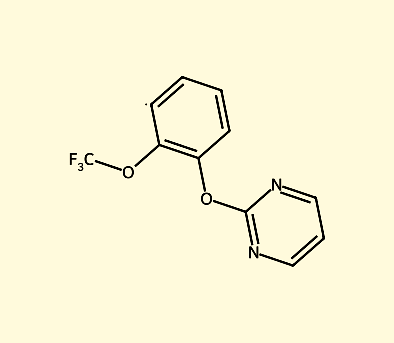 FC(F)(F)Oc1[c]cccc1Oc1ncccn1